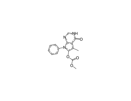 COC(=O)Oc1c(C)c2c(=O)[nH]cnc2n1-c1ccccc1